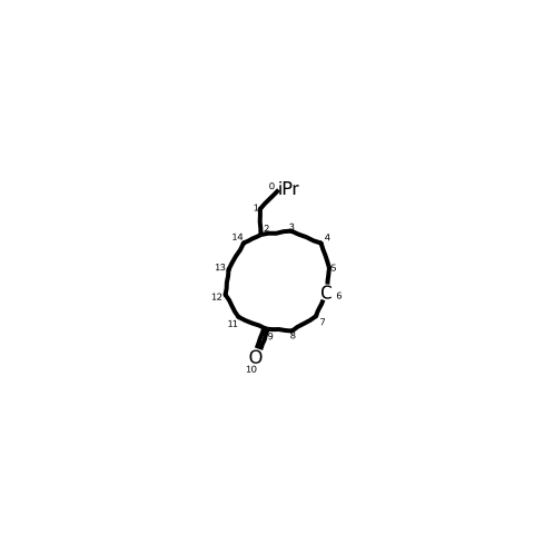 CC(C)CC1CCCCCCC(=O)CCCC1